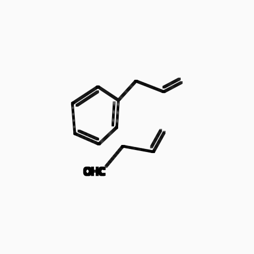 C=CCC=O.C=CCc1ccccc1